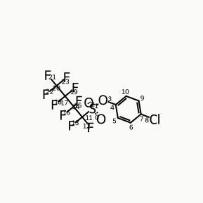 O=S(=O)(Oc1ccc(Cl)cc1)C(F)(F)C(F)(F)C(F)(F)C(F)(F)F